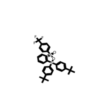 CC(C)(C)c1ccc(S(OS(=O)(=O)c2ccc(C(F)(F)F)cc2)(c2ccccc2)c2ccc(C(C)(C)C)cc2)cc1